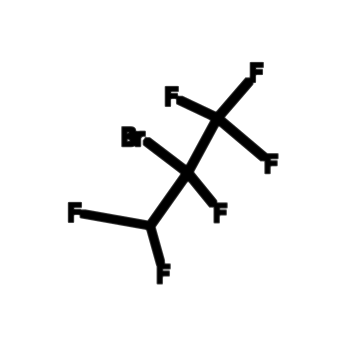 FC(F)C(F)(Br)C(F)(F)F